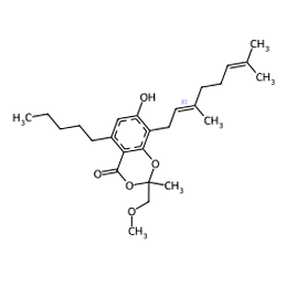 CCCCCc1cc(O)c(C/C=C(\C)CCC=C(C)C)c2c1C(=O)OC(C)(COC)O2